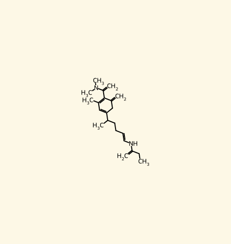 C=C(CC)N/C=C/CCC(C)C1=CC(C)=C(C(=C)N(C)C)C(=C)C1